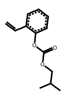 C=Cc1ccccc1OC(=O)OCC(C)C